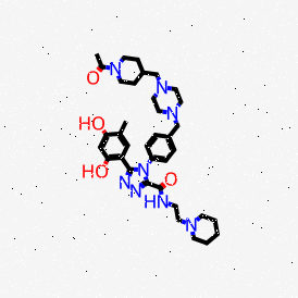 CC(=O)N1CCC(CN2CCN(Cc3ccc(-n4c(C(=O)NCCN5CCCCC5)nnc4-c4cc(C)c(O)cc4O)cc3)CC2)CC1